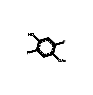 CC(=O)Oc1cc(F)c(O)cc1F